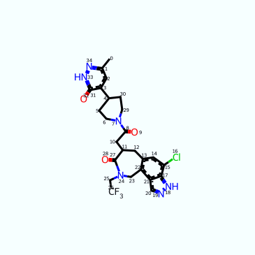 Cc1cc(C2CCN(C(=O)CC3Cc4cc(Cl)c5[nH]ncc5c4CN(CC(F)(F)F)C3=O)CC2)c(=O)[nH]n1